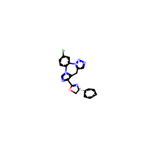 Brc1ccc2c(c1)-n1nncc1Cc1c(C3=N[C@H](c4ccccc4)CO3)ncn1-2